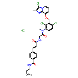 COCCNC(=O)c1ccc(C=CC(=O)NCC(=O)N(C)c2ccc(Cl)c(COc3cccn4c(Cl)c(C)nc34)c2Cl)cc1.Cl